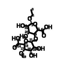 CCO[C@@H]1OC(C(=O)O)[C@@H](O[C@@H]2OC(C(=O)O)[C@H](OC)[C@@H](O)C2O)[C@@H](O)C1O